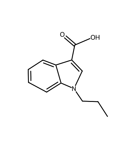 CCCn1cc(C(=O)O)c2ccccc21